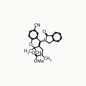 COC(=O)N(C)CC1=C(N2Cc3ccccc3C2=O)c2cc(C#N)ccc2OC1(C)C